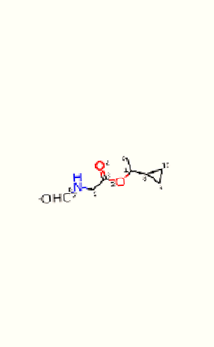 CC(OC(=O)CN[C]=O)C1CC1